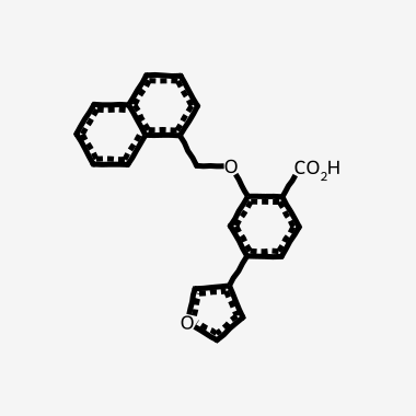 O=C(O)c1ccc(-c2ccoc2)cc1OCc1cccc2ccccc12